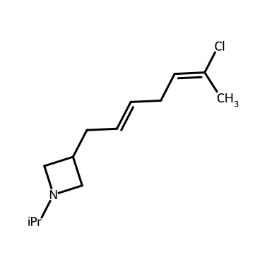 C/C(Cl)=C\C/C=C/CC1CN(C(C)C)C1